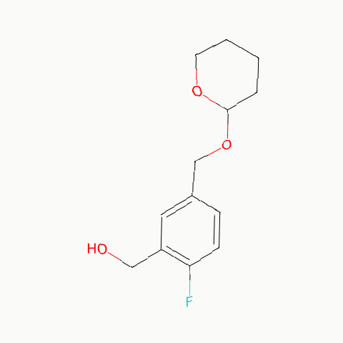 OCc1cc(COC2CCCCO2)ccc1F